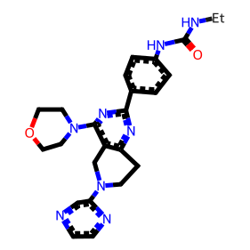 CCNC(=O)Nc1ccc(-c2nc3c(c(N4CCOCC4)n2)CN(c2cnccn2)CC3)cc1